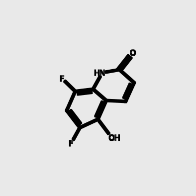 O=c1ccc2c(O)c(F)cc(F)c2[nH]1